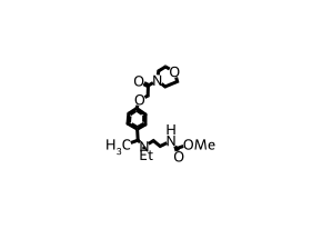 CCN(CCNC(=O)OC)C(C)c1ccc(OCC(=O)N2CCOCC2)cc1